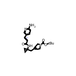 CC(C)(C)OC(=O)N1CC2C(C1)C2CC1(NC(=O)/C=C/c2ccc(N)nc2)CC1